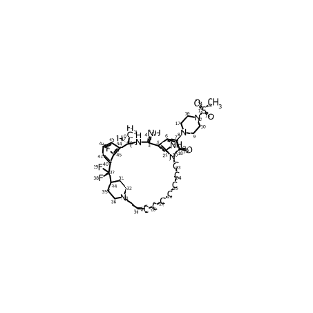 C[C@H]1NC(=N)c2cc(N3CCN(S(C)(=O)=O)CC3)c(=O)n(c2N)CCCCCCCCN2CCC(CC2)C(F)(F)c2cccc1c2F